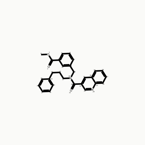 COC(=O)c1cccc(CN(CCCc2ccccc2)C(=O)c2cnc3ccccc3c2)c1